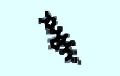 Cc1c(C(=O)Nc2ccc(F)c(F)c2)c2n(c1C(=O)C(=O)N[C@@H](C)C(F)(F)F)CCC2